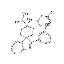 O=C(O)C1(Nc2cccc(Cl)c2)CCC2(CC1)C(c1cccc(O)c1)=Cc1ccccc12